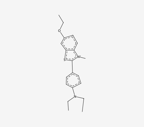 CCOc1ccc2c(c1)sc(-c1ccc(N(CC)CC)cc1)[n+]2C